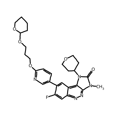 Cn1c(=O)n(C2CCOCC2)c2c3cc(-c4ccc(OCCCOC5CCCCO5)nc4)c(F)cc3nnc21